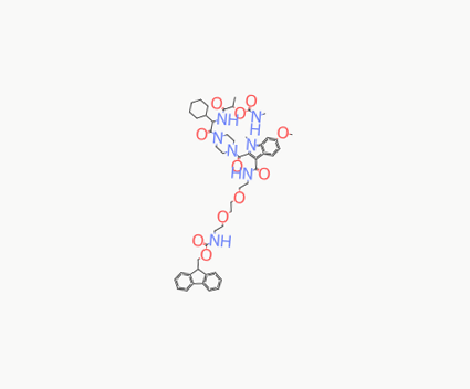 CNC(=O)OC(C)C(=O)NC(C(=O)N1CCN(C(=O)c2c(C(=O)NCCOCCOCCNC(=O)OCC3c4ccccc4-c4ccccc43)c3ccc(OC)cc3n2C)CC1)C1CCCCC1